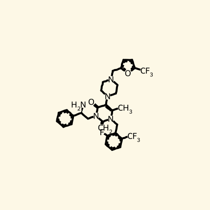 C=C1N(C[C@H](N)c2ccccc2)C(=O)C(N2CCN(Cc3ccc(C(F)(F)F)o3)CC2)=C(C)N1Cc1c(F)cccc1C(F)(F)F